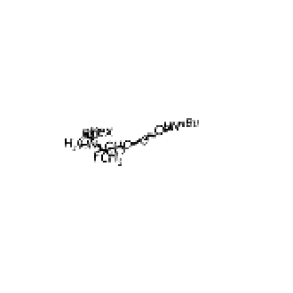 CCCCCCC(C)C(=O)NCC(F)C(C)(C)OCCOCCOCCOCCNCCCC